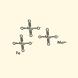 [Fe].[Mo+6].[O]=[Mo](=[O])([O-])[O-].[O]=[Mo](=[O])([O-])[O-].[O]=[Mo](=[O])([O-])[O-]